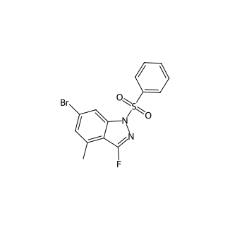 Cc1cc(Br)cc2c1c(F)nn2S(=O)(=O)c1ccccc1